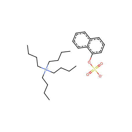 CCCC[N+](CCCC)(CCCC)CCCC.O=S(=O)([O-])Oc1cccc2ccccc12